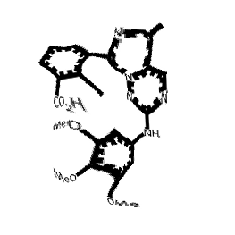 COc1cc(Nc2ncc3c(C)nc(-c4cccc(C(=O)O)c4C)n3n2)cc(OC)c1OC